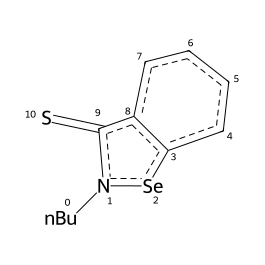 CCCCn1[se]c2ccccc2c1=S